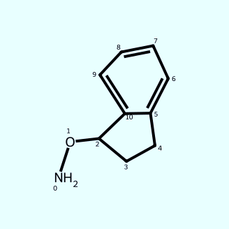 NOC1CCc2ccccc21